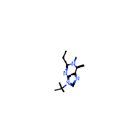 C=C1c2ncn(C(C)(C)C)c2N=C(CC)N1C